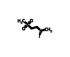 CN(I)CCS(C)(=O)=O